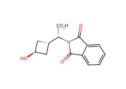 O=C(O)[C@@H]([C@H]1C[C@H](O)C1)N1C(=O)c2ccccc2C1=O